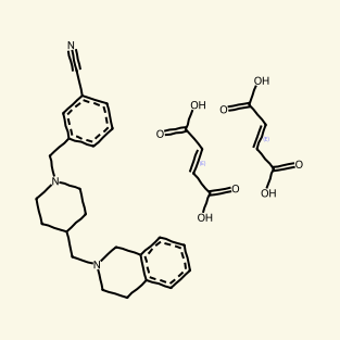 N#Cc1cccc(CN2CCC(CN3CCc4ccccc4C3)CC2)c1.O=C(O)/C=C/C(=O)O.O=C(O)/C=C/C(=O)O